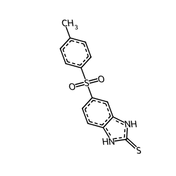 Cc1ccc(S(=O)(=O)c2ccc3[nH]c(=S)[nH]c3c2)cc1